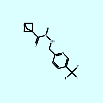 CN(NCc1ccc(C(F)(F)F)cn1)C(=O)C12CC(C1)C2